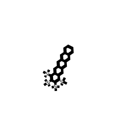 C[Si](C)(C)c1c([Si](C)(C)C)c([Si](C)(C)C)c2cc3cc4cc5ccccc5cc4cc3cc2c1[Si](C)(C)C